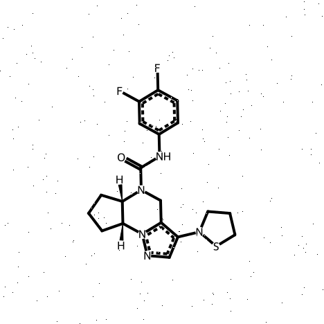 O=C(Nc1ccc(F)c(F)c1)N1Cc2c(N3CCCS3)cnn2[C@@H]2CCC[C@@H]21